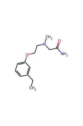 CCc1cccc(OCCN(C)CC(N)=O)c1